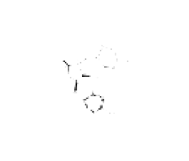 Cc1ccc(/C=C2/SC(=S)N(CN3CCC(C)CC3)C2=O)cc1